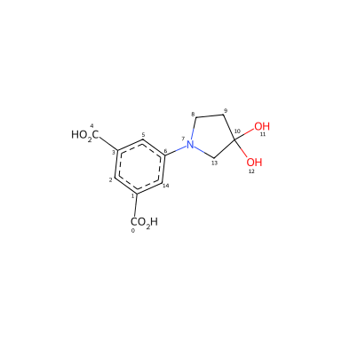 O=C(O)c1cc(C(=O)O)cc(N2CCC(O)(O)C2)c1